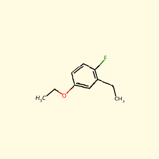 CCOc1ccc(F)c(CC)c1